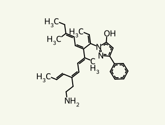 C\C=C\C(=C/C=C(C)/C(=C/C=C(\C)CC)C(=C\C)/n1nc(-c2ccccc2)cc1O)CCN